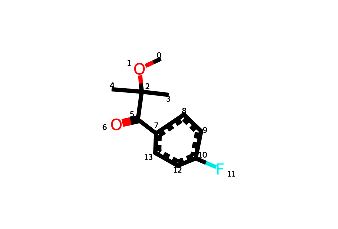 COC(C)(C)C(=O)c1ccc(F)cc1